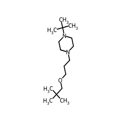 CC(C)(C)COCCCN1CCN(C(C)(C)C)CC1